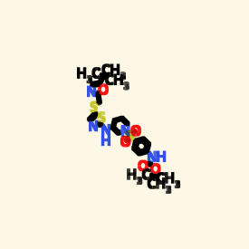 CC(C)(C)OC(=O)Nc1ccc(S(=O)(=O)N2CCC[C@@H](Nc3ncc(SCc4ncc(C(C)(C)C)o4)s3)C2)cc1